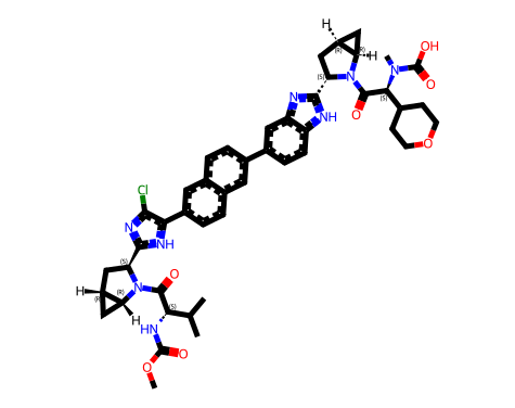 COC(=O)N[C@H](C(=O)N1[C@@H]2C[C@@H]2C[C@H]1c1nc(Cl)c(-c2ccc3cc(-c4ccc5[nH]c([C@@H]6C[C@H]7C[C@H]7N6C(=O)[C@H](C6CCOCC6)N(C)C(=O)O)nc5c4)ccc3c2)[nH]1)C(C)C